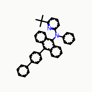 CC(C)(C)c1cccc(N(c2ccccc2)c2c3ccccc3c(-c3ccc(-c4ccccc4)cc3)c3ccccc23)n1